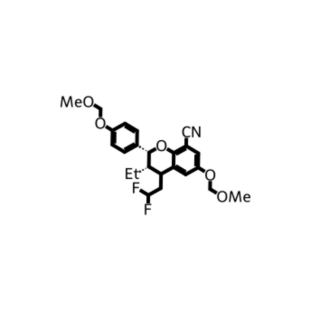 CC[C@H]1C(CC(F)F)c2cc(OCOC)cc(C#N)c2O[C@H]1c1ccc(OCOC)cc1